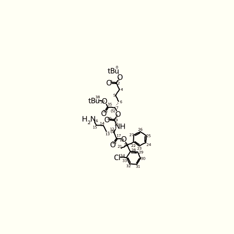 CC(C)(C)OC(=O)CCC[C@H](OC(=O)N[C@@H](CCCN)C(=O)OC(C)(c1ccccc1)c1ccccc1Cl)C(=O)OC(C)(C)C